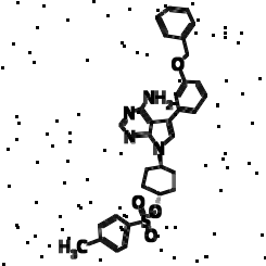 Cc1ccc(S(=O)(=O)O[C@H]2CC[C@H](n3cc(-c4cccc(OCc5ccccc5)c4)c4c(N)ncnc43)CC2)cc1